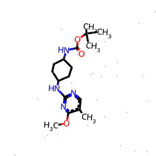 COc1nc(NC2CCC(NC(=O)OC(C)(C)C)CC2)ncc1C